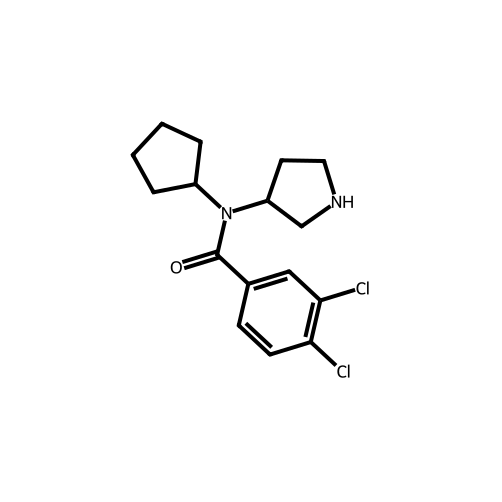 O=C(c1ccc(Cl)c(Cl)c1)N(C1CCCC1)C1CCNC1